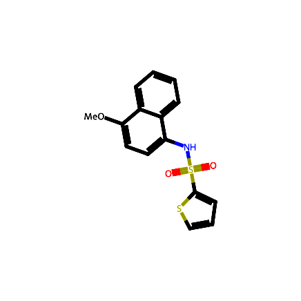 COc1ccc(NS(=O)(=O)c2cccs2)c2ccccc12